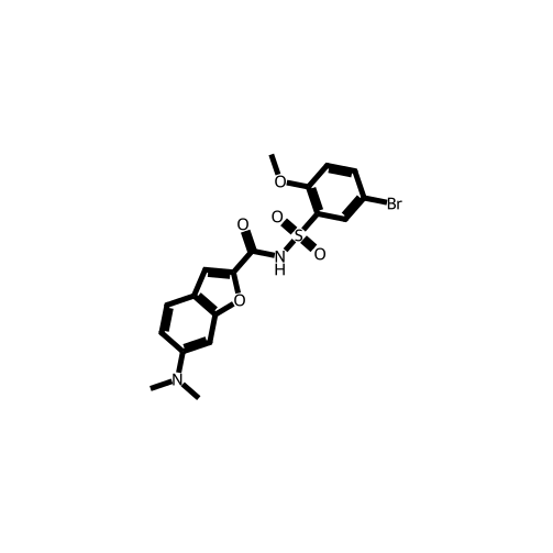 COc1ccc(Br)cc1S(=O)(=O)NC(=O)c1cc2ccc(N(C)C)cc2o1